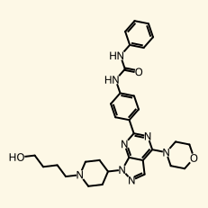 O=C(Nc1ccccc1)Nc1ccc(-c2nc(N3CCOCC3)c3cnn(C4CCN(CCCCO)CC4)c3n2)cc1